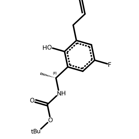 C=CCc1cc(F)cc([C@@H](C)NC(=O)OC(C)(C)C)c1O